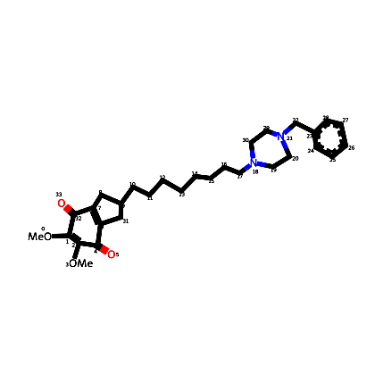 COC1=C(OC)C(=O)C2=C(CC(CCCCCCCCN3CCN(Cc4ccccc4)CC3)C2)C1=O